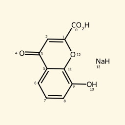 O=C(O)c1cc(=O)c2cccc(O)c2o1.[NaH]